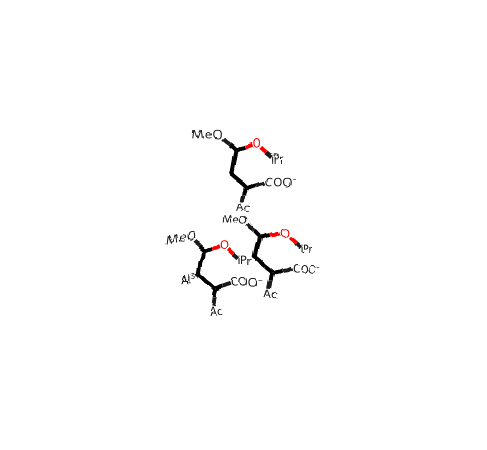 COC(CC(C(C)=O)C(=O)[O-])OC(C)C.COC(CC(C(C)=O)C(=O)[O-])OC(C)C.COC(CC(C(C)=O)C(=O)[O-])OC(C)C.[Al+3]